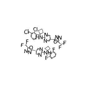 FC(F)c1nnc(-c2cnc(NC3(c4cccc(Cl)c4Cl)CCC3)nc2)o1.Fc1cccc(F)c1C1(Nc2ncc(-c3nnc(C(F)F)o3)cn2)CCC1